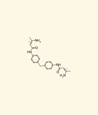 C/C(N)=C/C(=O)Nc1ccc(Cc2ccc(NC(=O)/C=C(/C)N)cc2)cc1